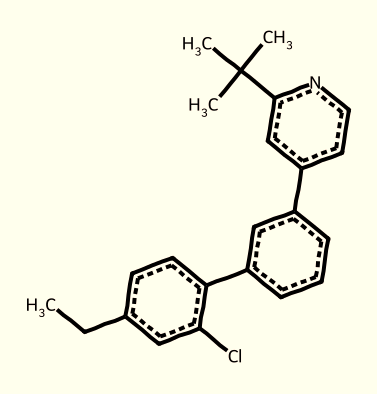 CCc1ccc(-c2cccc(-c3ccnc(C(C)(C)C)c3)c2)c(Cl)c1